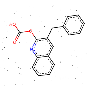 O=C(O)Oc1nc2ccccc2cc1Cc1ccccc1